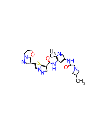 Cc1ncc(NC(=O)CN2CC(C)C2)cc1NC(=O)c1cnn2cc(-c3cnn4c3OCCC4)sc12